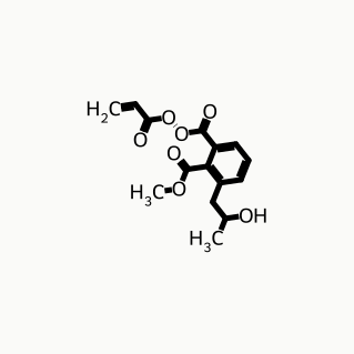 C=CC(=O)OOC(=O)c1cccc(CC(C)O)c1C(=O)OC